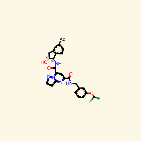 CC(=O)c1ccc2c(c1)C[C@@H](O)[C@@H]2NC(=O)c1cc(C(=O)NCc2cccc(OC(F)F)c2)nc2ccnn12